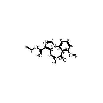 CCOC(=O)c1ncn2c1CN(C)C(=O)c1c(OC)cccc1-2